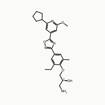 CCc1cc(-c2noc(-c3cc(OC)nc(C4CCCC4)c3)n2)cc(C)c1OC[C@@H](O)CN